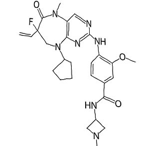 C=CC1(F)CN(C2CCCC2)c2nc(Nc3ccc(C(=O)NC4CN(C)C4)cc3OC)ncc2N(C)C1=O